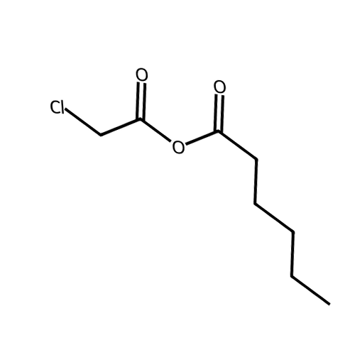 CCCCCC(=O)OC(=O)CCl